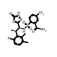 Cc1ccc(F)c([C@@H](C)[C@H](NS(=O)(=O)c2ccc(C(F)(F)F)cc2C(N)=O)c2n[nH]c(=O)o2)c1C